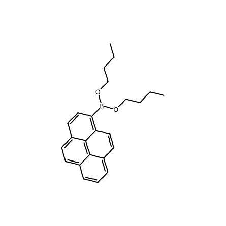 CCCCOB(OCCCC)c1ccc2ccc3cccc4ccc1c2c34